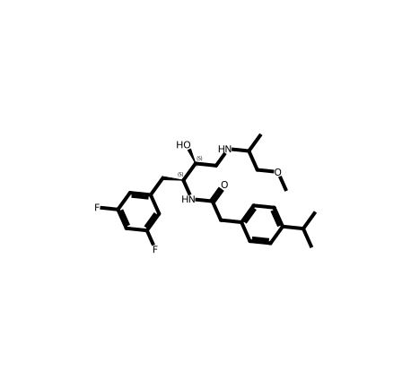 COCC(C)NC[C@H](O)[C@H](Cc1cc(F)cc(F)c1)NC(=O)Cc1ccc(C(C)C)cc1